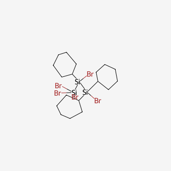 Br[Si](Br)(Br)[Si](Br)(C1CCCCC1)[Si](Br)(C1CCCCC1)C1CCCCC1